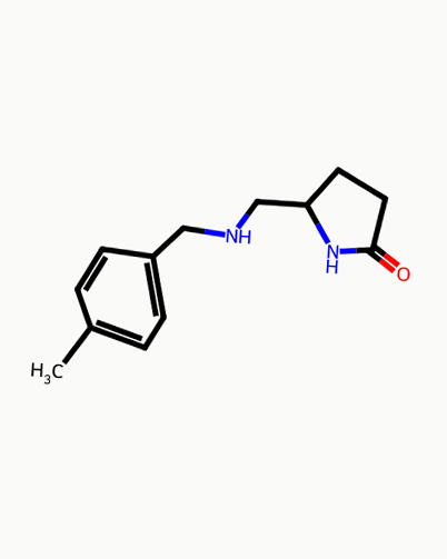 Cc1ccc(CNCC2CCC(=O)N2)cc1